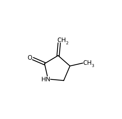 C=C1C(=O)NCC1C